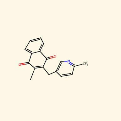 CC1=C(Cc2ccc(C(F)(F)F)nc2)C(=O)c2ccccc2C1=O